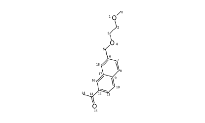 COCCOCc1ccc2ccc(C(C)=O)cc2c1